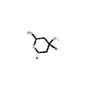 CC1(Br)CCO[CH]([Mg+])C1.[Br-]